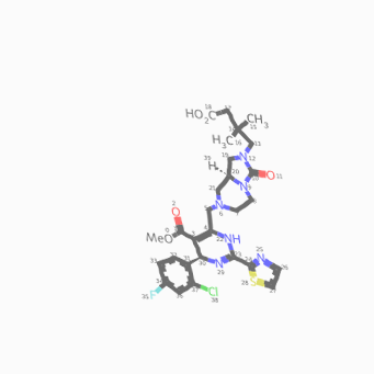 COC(=O)C1=C(CN2CCN3C(=O)N(CC(C)(C)CC(=O)O)C[C@@H]3C2)NC(c2nccs2)=N[C@H]1c1ccc(F)cc1Cl